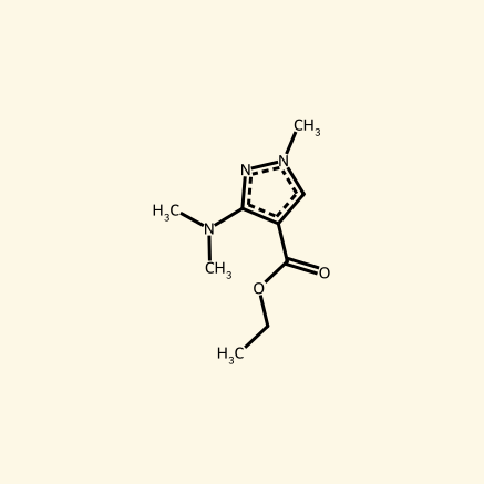 CCOC(=O)c1cn(C)nc1N(C)C